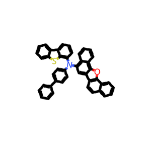 c1ccc(-c2ccc(N(c3cc4c5ccc6ccccc6c5oc4c4ccccc34)c3cccc4c3sc3ccccc34)cc2)cc1